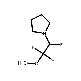 COC(F)(F)C(F)N1CCCC1